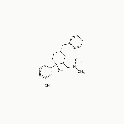 Cc1cccc(C2(O)CCC(Cc3ccccc3)CC2CN(C)C)c1